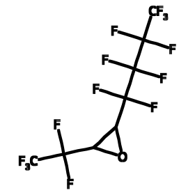 FC(F)(F)C(F)(F)C1OC1C(F)(F)C(F)(F)C(F)(F)C(F)(F)F